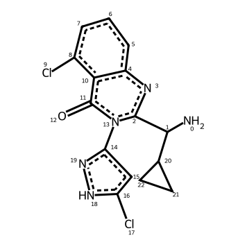 NC(c1nc2cccc(Cl)c2c(=O)n1-c1cc(Cl)[nH]n1)C1CC1